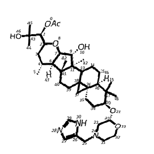 CC(=O)O[C@@H](C1C[C@@H](C)[C@H]2C(O1)[C@H](O)[C@@]1(C)C3CC[C@H]4C(C)(C)[C@@H](O[C@H]5CN(Cc6cnc[nH]6)CCO5)CC[C@@]45CC35CC[C@]21C)C(C)(C)O